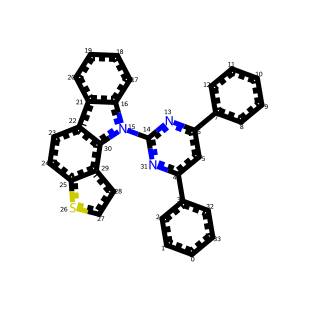 c1ccc(-c2cc(-c3ccccc3)nc(-n3c4ccccc4c4ccc5sccc5c43)n2)cc1